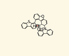 OB(O)C1c2c(oc3cccc(-c4cccc5c4sc4ccccc45)c23)C=CC1n1c2ccccc2c2ccccc21